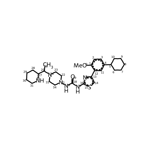 COc1ccc(C2CCCCC2)cc1-c1csc(NC(=O)NN2CCN(C(C)C3CCCCN3)CC2)n1